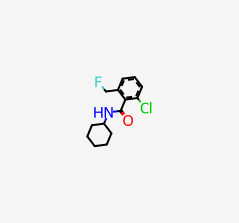 O=C(NC1CCCCC1)c1c(Cl)cccc1CF